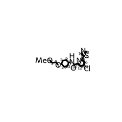 COCCOC1CCC(NC(=O)c2cc(Cl)cc(-c3cncs3)n2)CC1